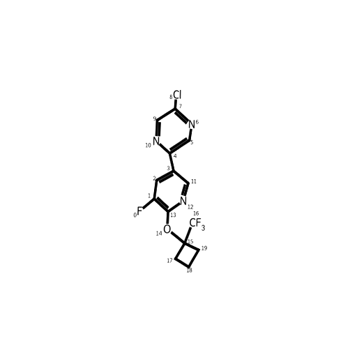 Fc1cc(-c2cnc(Cl)cn2)cnc1OC1(C(F)(F)F)CCC1